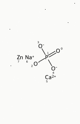 O=P([O-])([O-])[O-].[Ca+2].[Na+].[Zn]